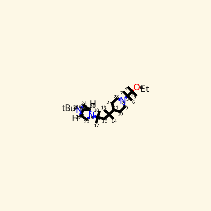 CCOC(C)(C)C(C)(C)N1CCC(C(C)(C)CC(C)(C)N2C[C@@H]3C[C@H]2CN3C(C)(C)C)CC1